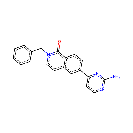 Nc1nccc(-c2ccc3c(=O)n(Cc4ccccc4)ccc3c2)n1